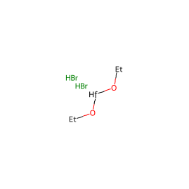 Br.Br.CC[O][Hf][O]CC